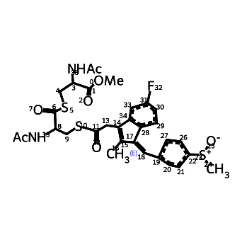 COC(=O)C(CSC(=O)C(CSC(=O)CC1=C(C)/C(=C/c2ccc([S+](C)[O-])cc2)c2ccc(F)cc21)NC(C)=O)NC(C)=O